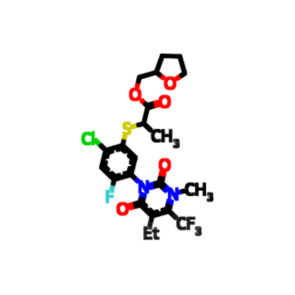 CCc1c(C(F)(F)F)n(C)c(=O)n(-c2cc(SC(C)C(=O)OCC3CCCO3)c(Cl)cc2F)c1=O